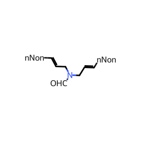 CCCCCCCCCC=CCN(C=O)CC=CCCCCCCCCC